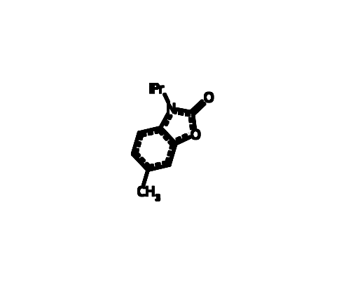 Cc1ccc2c(c1)oc(=O)n2C(C)C